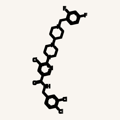 O=C(NCc1ccc(Cl)c(Cl)c1)c1cnc(N2CCN(C3CCN(Cc4ccc(F)cc4F)CC3)CC2)c(Cl)c1